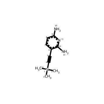 C[Si](C)(C)C#Cc1ccc(N)nc1N